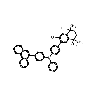 Cc1cc2c(cc1-c1ccc(N(c3ccccc3)c3ccc(-c4cc5ccccc5c5ccccc45)cc3)cc1)C(C)(C)CCC2(C)C